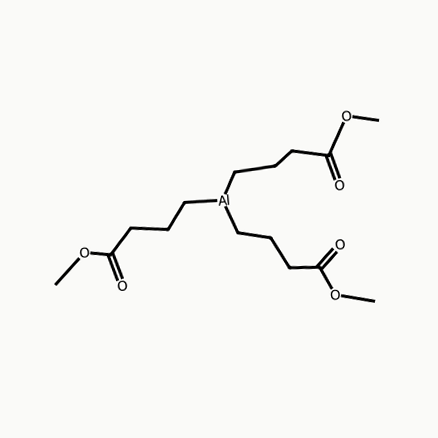 COC(=O)CC[CH2][Al]([CH2]CCC(=O)OC)[CH2]CCC(=O)OC